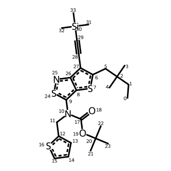 CCC(C)(C)Cc1sc2c(N(Cc3cccs3)C(=O)OC(C)(C)C)snc2c1C#C[Si](C)(C)C